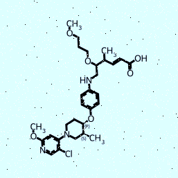 COCCCOC(CNc1ccc(O[C@@H]2CCN(c3cc(OC)ncc3Cl)C[C@@H]2C)cc1)C(C)C=CC(=O)O